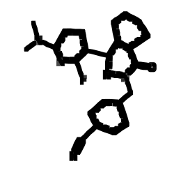 CN(C)c1ccc(-c2nn(Cc3ccc(C#N)cc3)c(=O)c3ccccc23)c(F)n1